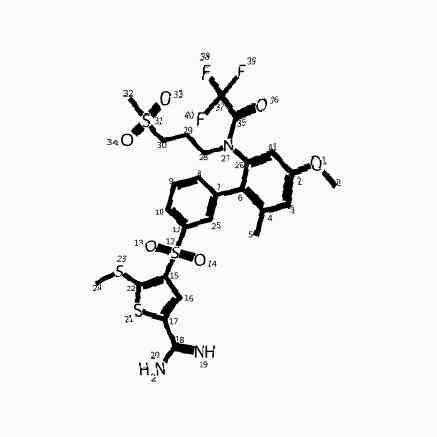 COc1cc(C)c(-c2cccc(S(=O)(=O)c3cc(C(=N)N)sc3SC)c2)c(N(CCCS(C)(=O)=O)C(=O)C(F)(F)F)c1